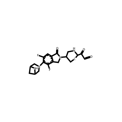 O=CC(=O)C1CCC(N2Cc3c(cc(F)c(N4CC5CC(C4)N5)c3F)C2=O)CN1